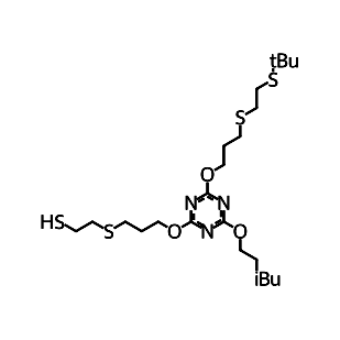 CCC(C)CCOc1nc(OCCCSCCS)nc(OCCCSCCSC(C)(C)C)n1